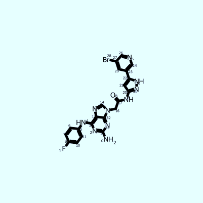 Nc1nc(Nc2ccc(F)cc2)c2ncn(CC(=O)Nc3cc(-c4cncc(Br)c4)[nH]n3)c2n1